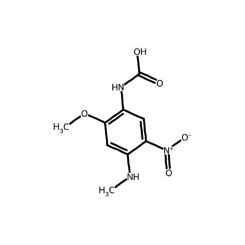 CNc1cc(OC)c(NC(=O)O)cc1[N+](=O)[O-]